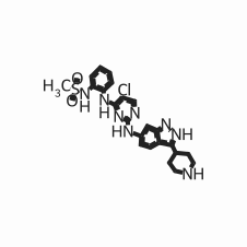 CS(=O)(=O)Nc1ccccc1Nc1nc(Nc2ccc3c(C4CCNCC4)[nH]nc3c2)ncc1Cl